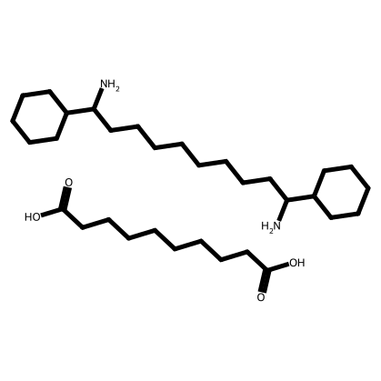 NC(CCCCCCCCC(N)C1CCCCC1)C1CCCCC1.O=C(O)CCCCCCCCC(=O)O